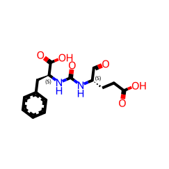 O=C[C@H](CCC(=O)O)NC(=O)N[C@@H](Cc1ccccc1)C(=O)O